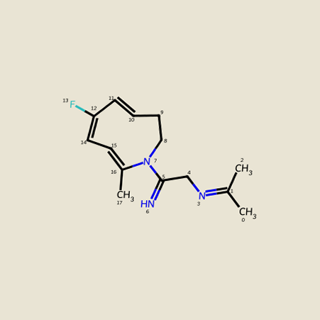 CC(C)=NCC(=N)N1CC/C=C/C(F)=C\C=C\1C